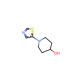 OC1CCN(c2cncs2)CC1